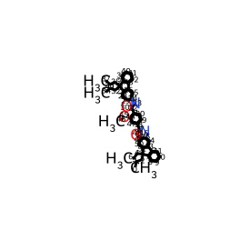 CCCC1(CCC)c2ccccc2-c2cc3nc(-c4ccc(-c5nc6cc7c(cc6o5)C(CCC)(CCC)c5ccccc5-7)c(OC)c4)oc3cc21